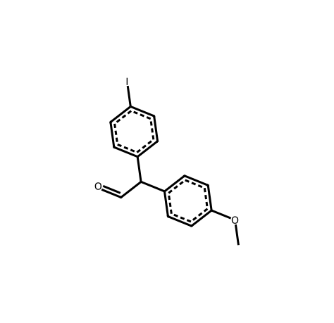 COc1ccc(C(C=O)c2ccc(I)cc2)cc1